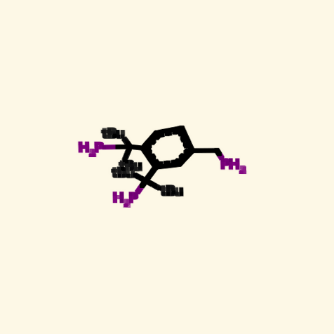 CC(C)(C)C(P)(c1ccc(CP)cc1C(P)(C(C)(C)C)C(C)(C)C)C(C)(C)C